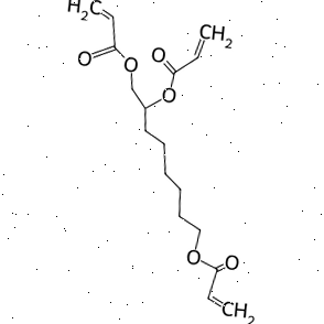 C=CC(=O)OCCCCCCC(COC(=O)C=C)OC(=O)C=C